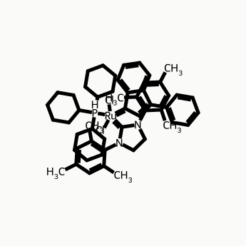 Cc1cc(C)c(N2CCN(c3c(C)cc(C)cc3C)[C]2=[Ru]([Cl])([Cl])(=[C]2C=C(c3ccccc3)c3ccccc32)[PH](C2CCCCC2)(C2CCCCC2)C2CCCCC2)c(C)c1